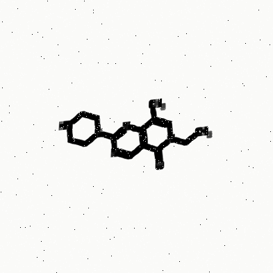 CCn1cc(C)c2nc(N3CCNCC3)ncc2c1=O